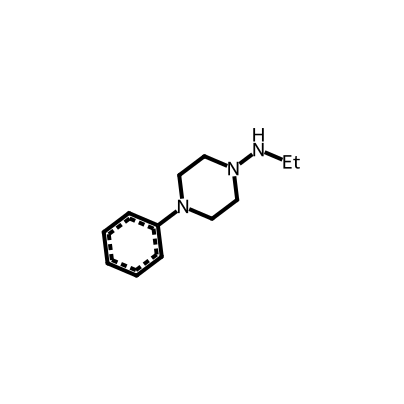 CCNN1CCN(c2ccccc2)CC1